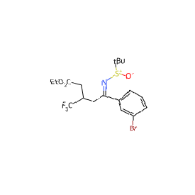 CCOC(=O)CC(C/C(=N/[S+]([O-])C(C)(C)C)c1cccc(Br)c1)C(F)(F)F